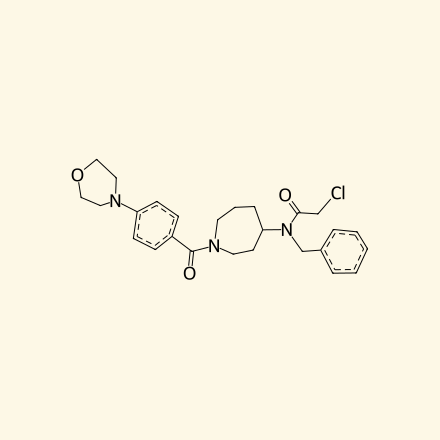 O=C(c1ccc(N2CCOCC2)cc1)N1CCCC(N(Cc2ccccc2)C(=O)CCl)CC1